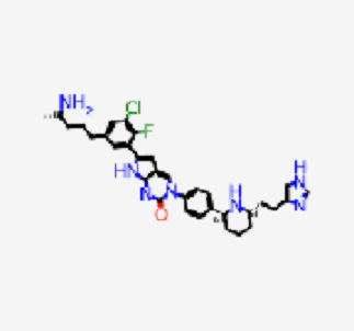 C[C@H](N)CCCc1cc(Cl)c(F)c(-c2cc3cn(-c4ccc([C@@H]5CCC[C@@H](CCc6c[nH]cn6)N5)cc4)c(=O)nc3[nH]2)c1